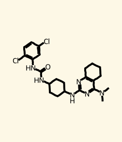 CN(C)c1nc(NC2CCC(NC(=O)Nc3cc(Cl)ccc3Cl)CC2)nc2c1CCCC2